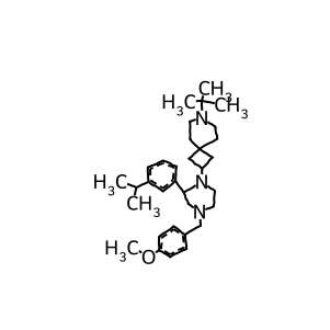 COc1ccc(CN2CCN(C3CC4(CCN(C(C)(C)C)CC4)C3)C(c3cccc(C(C)C)c3)C2)cc1